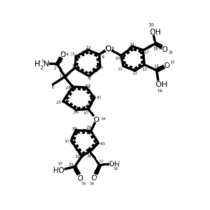 CC(C(N)=O)(c1ccc(Oc2ccc(C(=O)O)c(C(=O)O)c2)cc1)c1ccc(Oc2ccc(C(=O)O)c(C(=O)O)c2)cc1